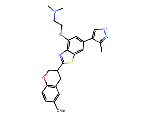 COc1ccc2c(c1)CC(c1nc3c(OCCN(C)C)cc(-c4c[nH]nc4C)cc3s1)CO2